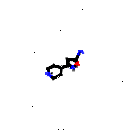 Nc1cc(C2CCNCC2)no1